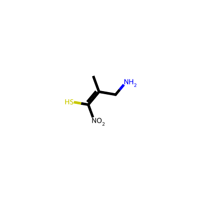 CC(CN)=C(S)[N+](=O)[O-]